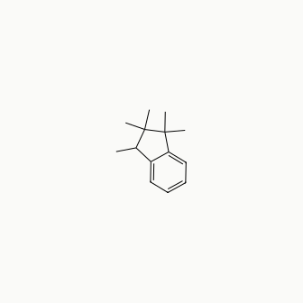 CC1c2ccccc2C(C)(C)C1(C)C